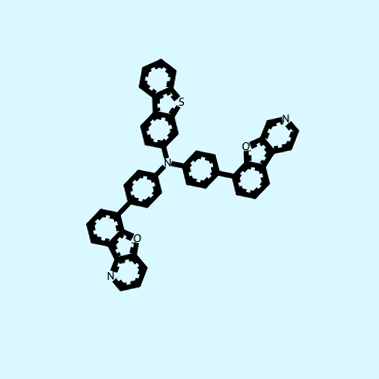 c1cnc2c(c1)oc1c(-c3ccc(N(c4ccc(-c5cccc6c5oc5cnccc56)cc4)c4ccc5c(c4)sc4ccccc45)cc3)cccc12